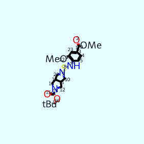 COC(=O)c1ccc(NSN2CC3CN(C(=O)OC(C)(C)C)CC3C2)c(OC)c1